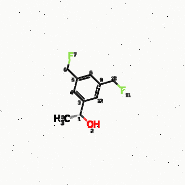 C[C@@H](O)c1cc(CF)cc(CF)c1